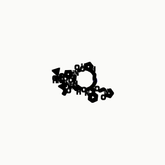 C=CC1C[C@]1(NC(=O)[C@@H]1C[C@@H]2CN1C(=O)[C@H](C1CCCC1)NC(=O)O[C@@H]1CCC[C@H]1CC/C=C/Cc1c(nc3ccccc3c1OCCN1CCCC1=O)O2)C(=O)NS(=O)(=O)C1CC1